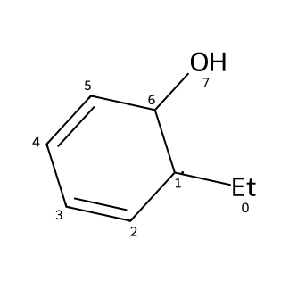 CC[C]1C=CC=CC1O